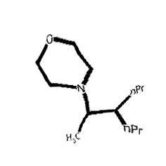 CCCC(CCC)C(C)N1CCOCC1